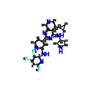 Fc1cc(F)c(F)c(Nc2cc(-c3nc(NC4CCNC4)c4c(C5CC5)cncc4n3)ccn2)n1